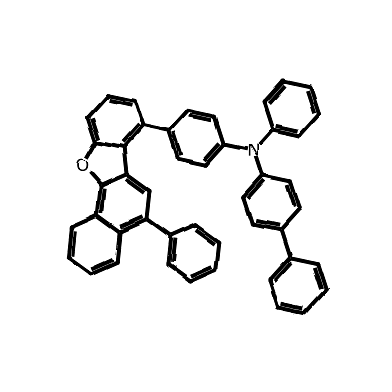 c1ccc(-c2ccc(N(c3ccccc3)c3ccc(-c4cccc5oc6c7ccccc7c(-c7ccccc7)cc6c45)cc3)cc2)cc1